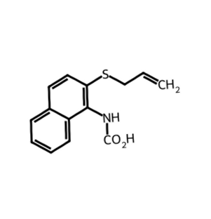 C=CCSc1ccc2ccccc2c1NC(=O)O